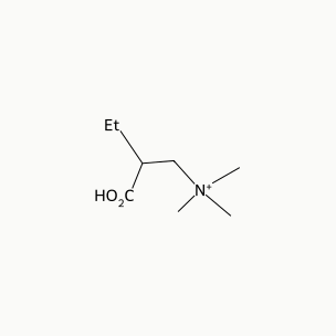 CCC(C[N+](C)(C)C)C(=O)O